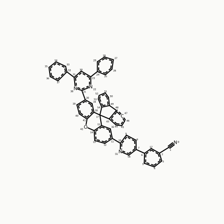 N#Cc1cccc(-c2ccc(-c3ccc4c(c3)C3(c5cc(-c6nc(-c7ccccc7)cc(-c7ccccc7)n6)ccc5O4)c4ccccc4-c4ccccc43)nc2)c1